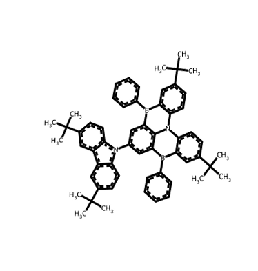 CC(C)(C)c1ccc2c(c1)B(c1ccccc1)c1cc(-n3c4ccc(C(C)(C)C)cc4c4cc(C(C)(C)C)ccc43)cc3c1N2c1ccc(C(C)(C)C)cc1B3c1ccccc1